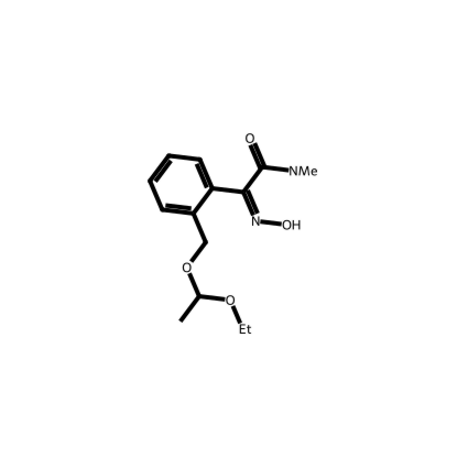 CCOC(C)OCc1ccccc1C(=NO)C(=O)NC